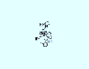 CC[C@H]1CCCCN1C(=O)C[C@H](NS(=O)(=O)CCC(C)C)C(=O)N[C@@H](C)c1nc2c(F)cccc2[nH]1